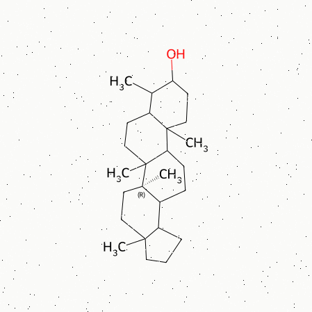 CC1C(O)CCC2(C)C1CCC1(C)C2CCC2C3CCCC3(C)CC[C@]21C